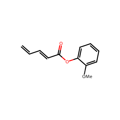 C=CC=CC(=O)Oc1ccccc1OC